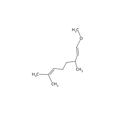 COC=CC(C)CCC=C(C)C